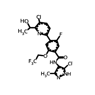 Cc1n[nH]c(Cl)c1NC(=O)c1cc(F)c(-c2ccc(Cl)c(C(C)O)n2)cc1OCC(F)(F)F